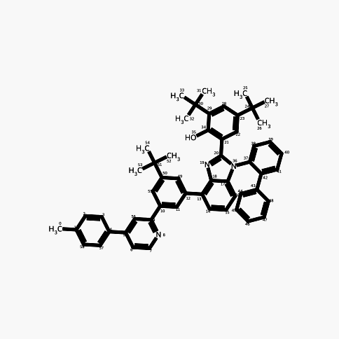 Cc1ccc(-c2ccnc(-c3cc(-c4cccc5c4nc(-c4cc(C(C)(C)C)cc(C(C)(C)C)c4O)n5-c4ccccc4-c4ccccc4)cc(C(C)(C)C)c3)c2)cc1